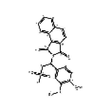 CCOc1cc(C(CS(C)(=O)=O)N2C(=O)c3ccc4ccccc4c3C2=O)ccc1OC